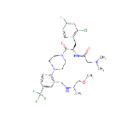 COCC(C)NCc1cc(C(F)(F)F)ccc1N1CCN(C(=O)[C@@H](Cc2ccc(Cl)cc2Cl)NC(=O)CN(C)C)CC1